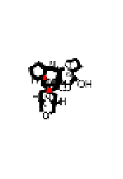 O=C(O)[C@@H]1CCCN1c1nc2ccccc2n([C@H]2C[C@H]3COC[C@@H](C2)N3[C@H]2C[C@@H]3CCC[C@@H](CC3)C2)c1=O